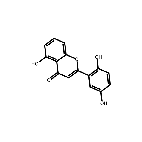 O=c1cc(-c2cc(O)ccc2O)oc2c[c]cc(O)c12